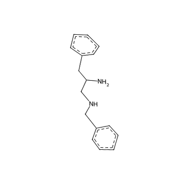 NC(CNCc1ccccc1)Cc1ccccc1